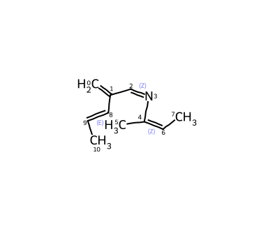 C=C(/C=N\C(C)=C/C)/C=C/C